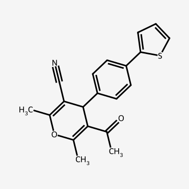 CC(=O)C1=C(C)OC(C)=C(C#N)C1c1ccc(-c2cccs2)cc1